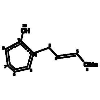 CO/C=C/Cc1ccccc1O